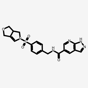 O=C(NCc1ccc(S(=O)(=O)N2C=C3COCC3C2)cc1)c1cnc2[nH]ncc2c1